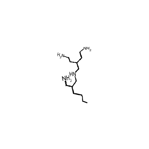 CCCCC(CN)CNCC(CCN)CCN